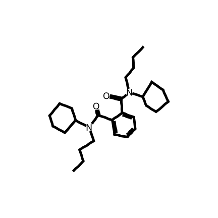 CCCCN(C(=O)c1ccccc1C(=O)N(CCCC)C1CCCCC1)C1CCCCC1